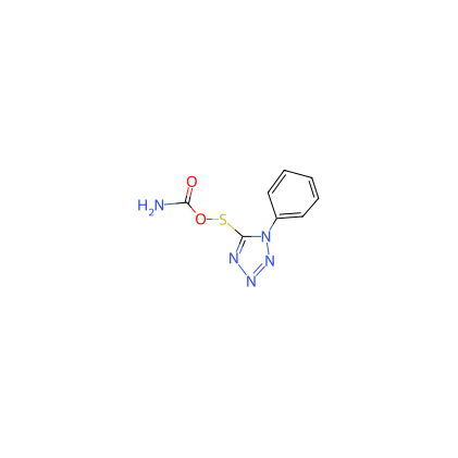 NC(=O)OSc1nnnn1-c1ccccc1